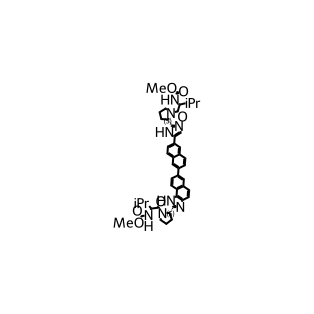 COC(=O)NC(C(=O)N1CCC[C@H]1c1ncc(-c2ccc3cc(-c4ccc5c(ccc6nc([C@@H]7CCCN7C(=O)C(NC(=O)OC)C(C)C)[nH]c65)c4)ccc3c2)[nH]1)C(C)C